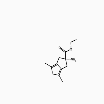 CCOC(=O)C1(N)Cc2c(C)sc(C)c2C1